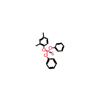 Cc1ccc(OP(=S)(Oc2ccccc2)Oc2ccccc2)c(C)c1